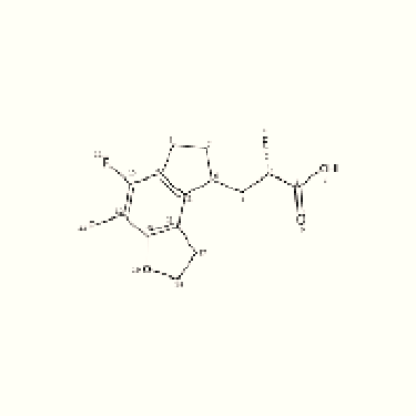 O=C(O)[C@@H](F)CC1CCc2c(F)c(F)c3c(c21)CCO3